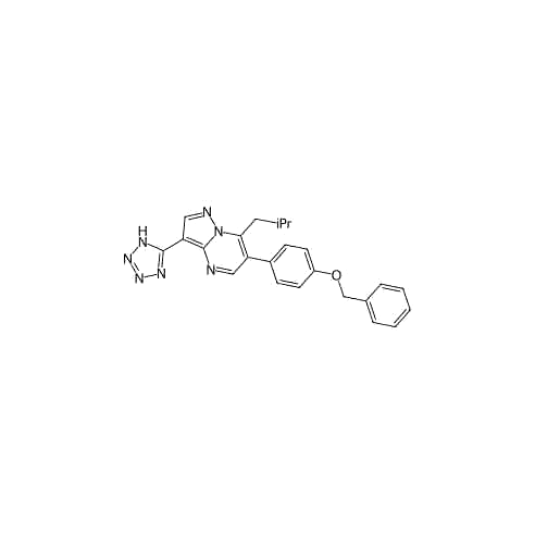 CC(C)Cc1c(-c2ccc(OCc3ccccc3)cc2)cnc2c(-c3nnn[nH]3)cnn12